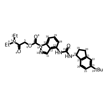 CCN(CC)C(=O)COC(=O)n1ncc2c(NC(=O)N[C@@H]3CCc4cc(C(C)(C)C)ccc43)cccc21